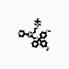 COc1ccc(C(OCc2nc(-c3ccncc3)nn2CCO[Si](C)(C)C(C)(C)C)(c2ccccc2)c2ccc(OC)cc2)cc1